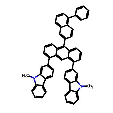 Cn1c2ccccc2c2ccc(-c3cccc4c(-c5ccc6c(-c7ccccc7)cccc6c5)c5cccc(-c6ccc7c8ccccc8n(C)c7c6)c5cc34)cc21